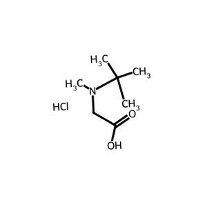 CN(CC(=O)O)C(C)(C)C.Cl